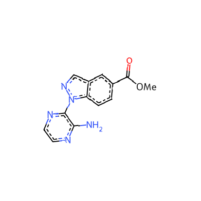 COC(=O)c1ccc2c(cnn2-c2nccnc2N)c1